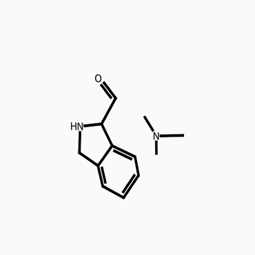 CN(C)C.O=CC1NCc2ccccc21